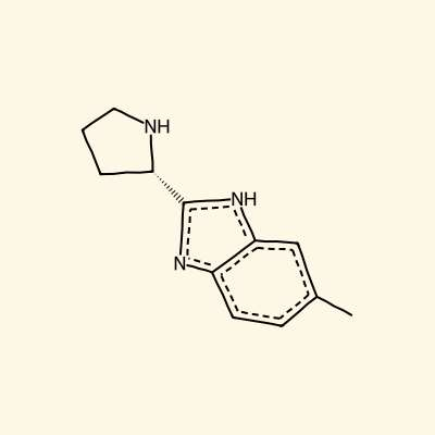 Cc1ccc2nc([C@@H]3CCCN3)[nH]c2c1